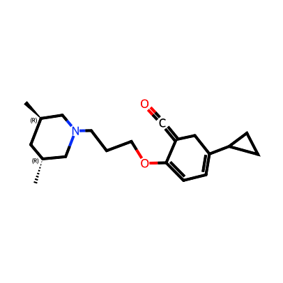 C[C@@H]1C[C@@H](C)CN(CCCOC2=CC=C(C3CC3)CC2=C=O)C1